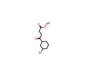 CCCOC(=O)CCC(=O)C1CCCC(CC)C1